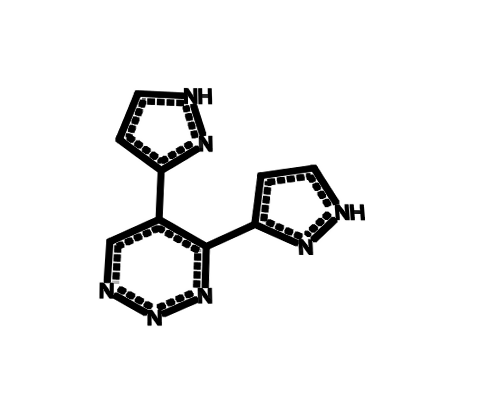 c1cc(-c2cnnnc2-c2cc[nH]n2)n[nH]1